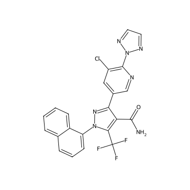 NC(=O)c1c(-c2cnc(-n3nccn3)c(Cl)c2)nn(-c2cccc3ccccc23)c1C(F)(F)F